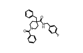 O=C(c1ccccc1)N1CCC(Cc2ccccc2)(C(=O)NCc2ccc(F)cc2)CC1